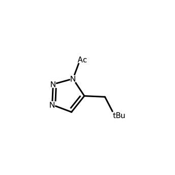 CC(=O)n1nncc1CC(C)(C)C